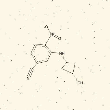 N#Cc1ccc([N+](=O)[O-])c(N[C@H]2C[C@@H](O)C2)c1